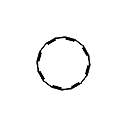 C1=CC=CC=CC=CC=CC=CC=CC=C1